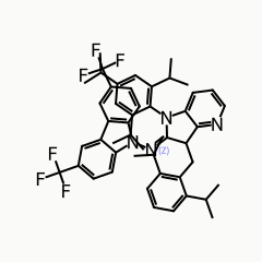 CC(C)c1cc(C(C)C)c(N2/C(=N\n3c4ccc(C(F)(F)F)cc4c4cc(C(F)(F)F)ccc43)C(Cc3c(C(C)C)cccc3C(C)C)c3ncccc32)c(C(C)C)c1